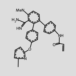 C=CC(=O)Nc1ccc(-c2ccc(NC)c(C(=N)N)c2-c2ccc(Oc3cccc(C)n3)cc2)cc1